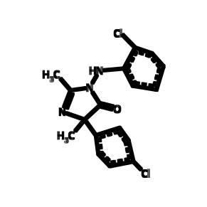 CC1=NC(C)(c2ccc(Cl)cc2)C(=O)N1Nc1ccccc1Cl